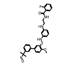 COc1ccc(-c2cccc(C(C)(C)N=O)c2)cc1SNc1cccc(NCCNC(=O)c2ccccc2F)c1